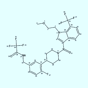 COCCn1cc(C(=O)N2CCC(c3cc(CNC(=O)C(F)(F)F)ccc3F)CC2)c2cccc(C(F)(F)F)c21